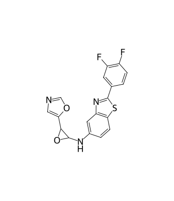 Fc1ccc(-c2nc3cc(NC4OC4c4cnco4)ccc3s2)cc1F